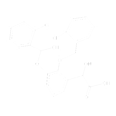 CC(Oc1cccc(C(O)C(=O)O)c1OCc1ccccc1Cl)c1ccccc1Cl